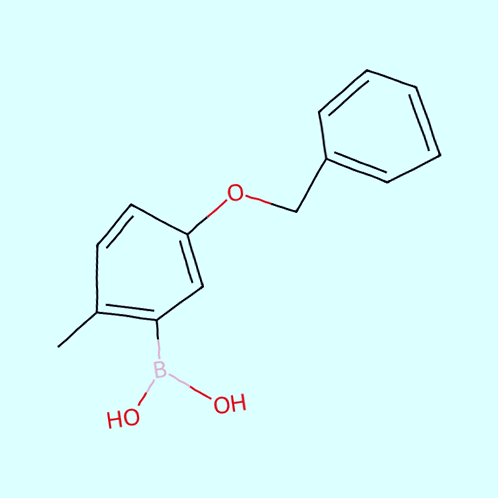 Cc1ccc(OCc2ccccc2)cc1B(O)O